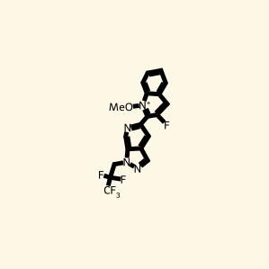 CO[n+]1c(-c2cc3cnn(CC(F)(F)C(F)(F)F)c3cn2)c(F)cc2ccccc21